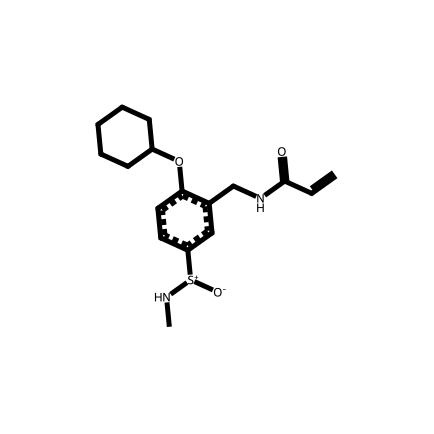 C=CC(=O)NCc1cc([S+]([O-])NC)ccc1OC1CCCCC1